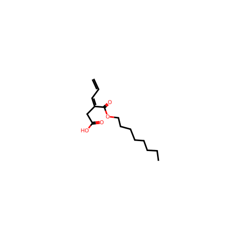 C=CC=C(CC(=O)O)C(=O)OCCCCCCCC